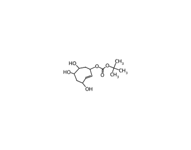 CC(C)(C)OC(=O)OC1/C=C/C(O)CC(O)C(O)C1